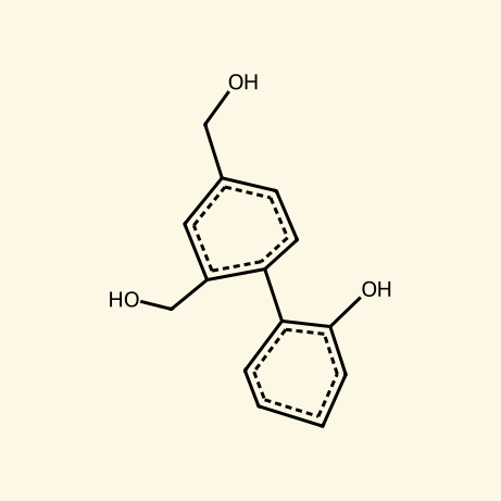 OCc1ccc(-c2ccccc2O)c(CO)c1